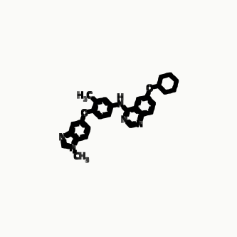 Cc1cc(Nc2ncnc3ccc(OC4CCCCC4)cc23)ccc1Oc1ccc2c(c1)ncn2C